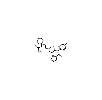 Cc1ccc(N(C(=O)c2ccco2)C2CCN(CCC3(CC(N)=O)CCCCC3)CC2)nc1